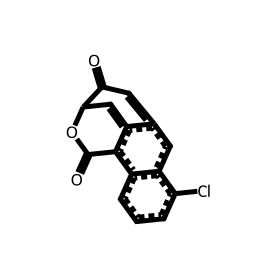 O=C1OC2C=c3c1c1cccc(Cl)c1cc3=CC2=O